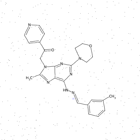 Cc1cccc(/C=N/Nc2nc(N3CCOCC3)nc3c2nc(C)n3CC(=O)c2ccncc2)c1